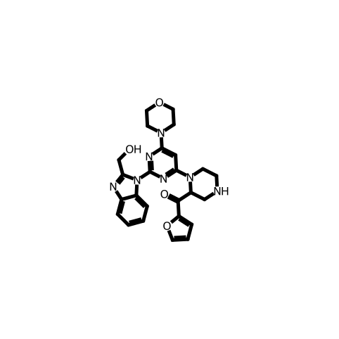 O=C(c1ccco1)C1CNCCN1c1cc(N2CCOCC2)nc(-n2c(CO)nc3ccccc32)n1